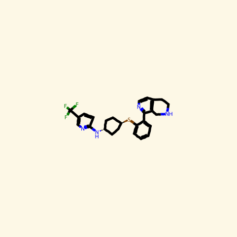 FC(F)(F)c1ccc(N[C@H]2CC[C@H](Sc3ccccc3-c3nccc4c3CNCC4)CC2)nc1